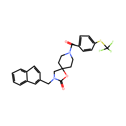 O=C1OC2(CCN(C(=O)c3ccc(SC(F)(F)F)cc3)CC2)CN1Cc1ccc2ccccc2c1